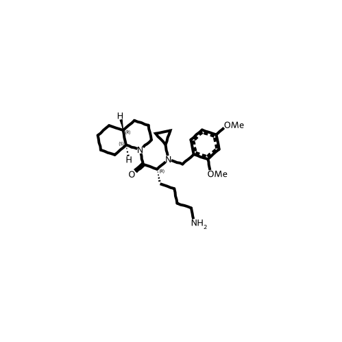 COc1ccc(CN(C2CC2)[C@H](CCCCN)C(=O)N2CCC[C@H]3CCCC[C@@H]32)c(OC)c1